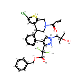 C=CC(=O)N1Cc2sc(Cl)cc2C(c2ccccc2-c2cn(CC(C)(C)O)nc2C(F)(F)C(=O)OCc2ccccc2)C1